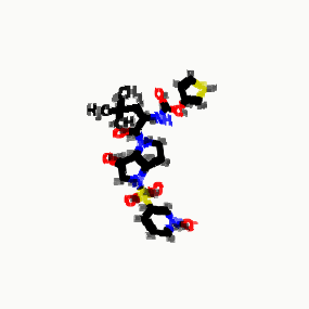 CC(C)(C)CC(NC(=O)Oc1ccsc1)C(=O)N1CCC2C1C(=O)CN2S(=O)(=O)c1ccc[n+]([O-])c1